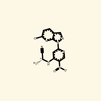 C[C@H](C#N)Nc1cc(-n2ncc3ccc(Cl)nc32)ncc1[N+](=O)[O-]